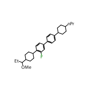 CCCC1CCC(c2ccc(-c3ccc(C4CCC(C(CC)OC)CC4)c(F)c3)cc2)CC1